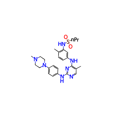 CCCS(=O)(=O)Nc1cc(Nc2nc(Nc3ccc(N4CCN(C)CC4)cc3)ncc2C)ccc1C